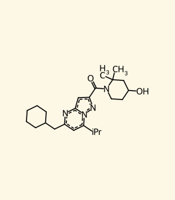 CC(C)c1cc(CC2CCCCC2)nc2cc(C(=O)N3CCC(O)CC3(C)C)nn12